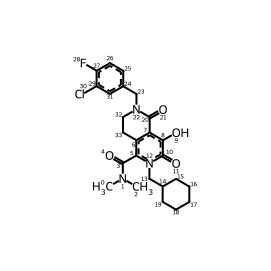 CN(C)C(=O)c1c2c(c(O)c(=O)n1CC1CCCCC1)C(=O)N(Cc1ccc(F)c(Cl)c1)CC2